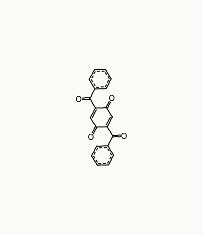 O=C1C=C(C(=O)c2ccccc2)C(=O)C=C1C(=O)c1ccccc1